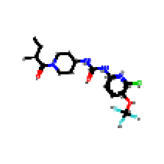 CC[C@H](C)C(=O)N1CCC(NC(=O)Nc2ccc(OC(F)(F)F)c(Cl)n2)CC1